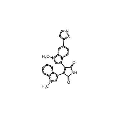 Cn1cc(C2=C(c3cn(C)c4cc(-c5ccns5)ccc34)C(=O)NC2=O)c2ccccc21